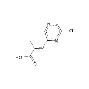 C/C(=C\c1cncc(Cl)n1)C(=O)O